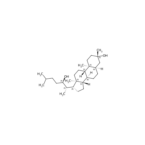 CC(C)CC[C@@H](O)[C@@H](C)[C@H]1CC[C@H]2[C@@H]3CC[C@@H]4C[C@@](C)(O)CC[C@]4(C)[C@H]3CC[C@]12C